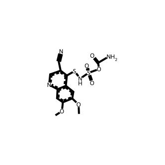 COc1cc2ncc(C#N)c(SNS(=O)(=O)OC(N)=O)c2cc1OC